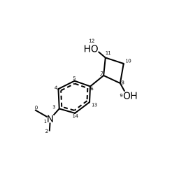 CN(C)c1ccc([C]2C(O)CC2O)cc1